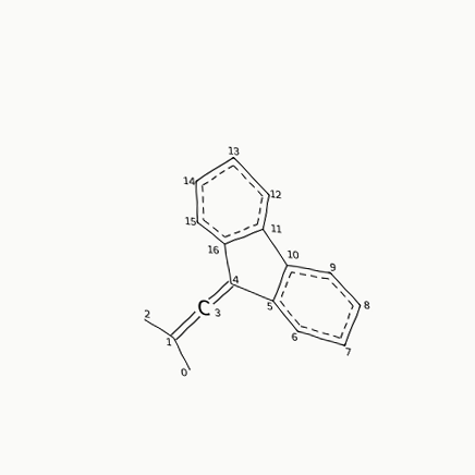 CC(C)=C=C1c2ccccc2-c2ccccc21